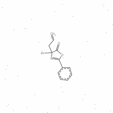 C=CCC1(C(C)C)N=C(c2ccccc2)OC1=O